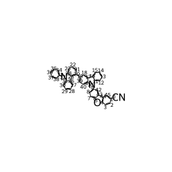 N#Cc1ccc2oc3ccc(-n4c5ccccc5c5cc(-c6cccc7c6c6ccccc6n7-c6ccccc6)ccc54)cc3c2c1